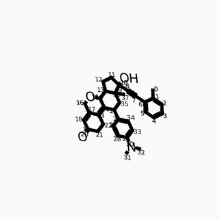 Cc1ccccc1C#CC1(O)CCC2C3OCC4=CC(=O)CCC4=C3C(c3ccc(N(C)C)cc3)CC21C